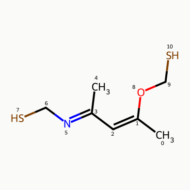 C/C(=C/C(C)=N/CS)OCS